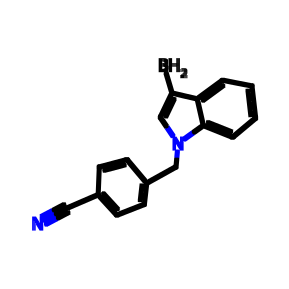 Bc1cn(Cc2ccc(C#N)cc2)c2ccccc12